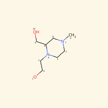 CN1CCN(CC[O])C(CO)C1